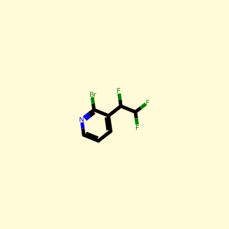 FC(F)C(F)c1cccnc1Br